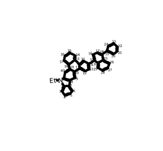 CCn1c2ccccc2c2cc3c4ccc(-c5ccc(-c6ccccc6)c6ccccc56)cc4c4ccccc4c3cc21